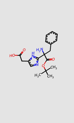 CC(C)(C)OC(=O)C(N)(Cc1ccccc1)c1ncc(CC(=O)O)[nH]1